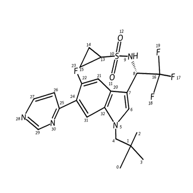 CC(C)(C)Cn1cc([C@H](NS(=O)(=O)C2CC2)C(F)(F)F)c2cc(F)c(-c3ccncn3)cc21